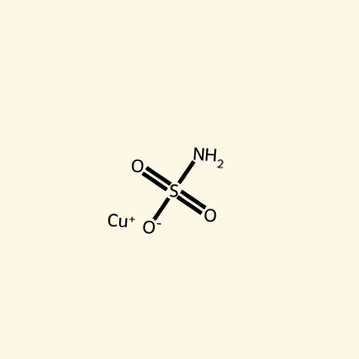 NS(=O)(=O)[O-].[Cu+]